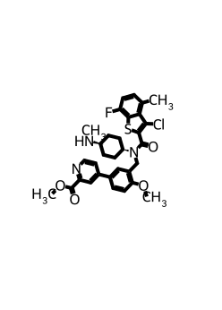 CN[C@H]1CC[C@H](N(Cc2cc(-c3ccnc(C(=O)OC)c3)ccc2OC)C(=O)c2sc3c(F)ccc(C)c3c2Cl)CC1